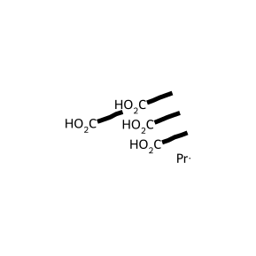 CC(=O)O.CC(=O)O.CC(=O)O.CC(=O)O.[Pr]